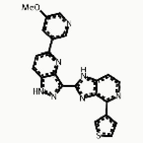 COc1cncc(-c2ccc3[nH]nc(-c4nc5c(-c6ccsc6)nccc5[nH]4)c3n2)c1